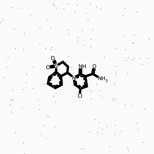 N=c1c(C(N)=O)cc(Cl)cn1C1CCS(=O)(=O)c2ccccc21